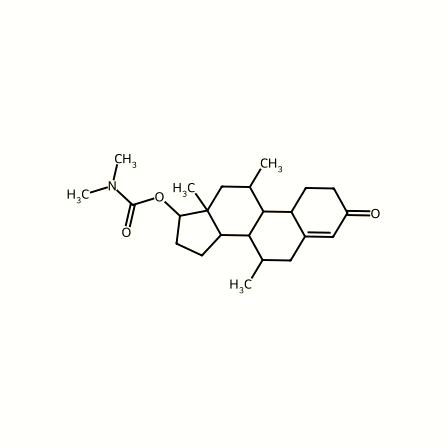 CC1CC2(C)C(OC(=O)N(C)C)CCC2C2C(C)CC3=CC(=O)CCC3C12